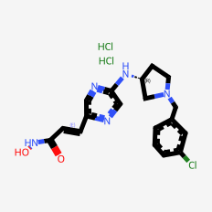 Cl.Cl.O=C(/C=C/c1cnc(N[C@@H]2CCN(Cc3cccc(Cl)c3)C2)cn1)NO